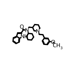 COc1cccc(CCN2CCCC(CN(C(=O)c3cc4ccccc4[nH]3)C3CCCCC3)C2)c1